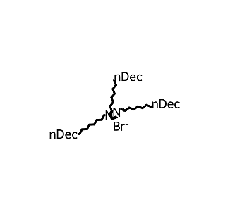 CCCCCCCCCCCCCCCCCCn1cc[n+](CCCCCCCCCCCCCCCCCC)c1CCCCCCCCCCCCCCCCC.[Br-]